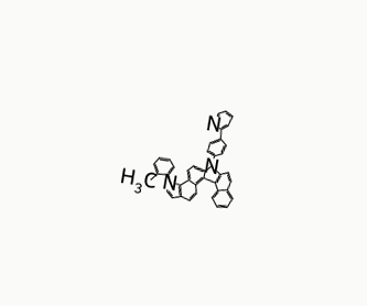 Cc1ccccc1-n1ccc2ccc3c(ccc4c3c3c5ccccc5ccc3n4-c3ccc(-c4ccccn4)cc3)c21